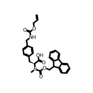 C=CCOC(=O)NCc1ccc(C[C@@H](C(=O)O)N(C)C(=O)OCC2c3ccccc3-c3ccccc32)cc1